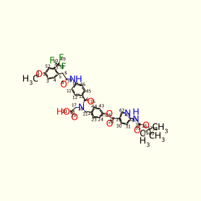 COc1ccc(CC(=O)Nc2ccc(C(=O)N(CC(=O)O)Cc3ccc(OC(=O)c4ccc(NC(=O)OC(C)(C)C)nc4)cc3)cc2)c(C(F)(F)F)c1